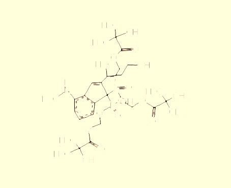 CCCC(O)C1=Cc2c(NC)cccc2C1(P(=O)(O)OCOC(=O)C(C)(C)C)P(=O)(OCOC(=O)C(C)(C)C)OCOC(=O)C(C)(C)C